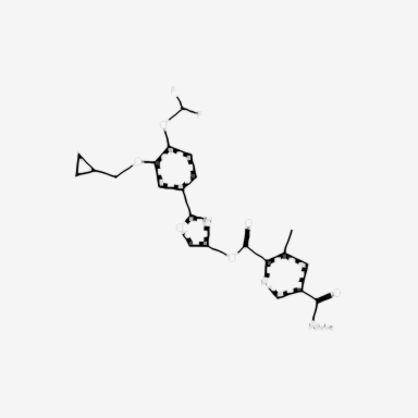 CNC(=O)c1cnc(C(=O)Oc2coc(-c3ccc(OC(F)F)c(OCC4CC4)c3)n2)c(C)c1